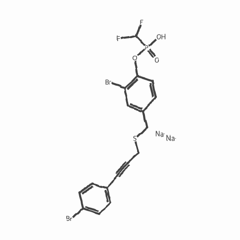 O=P(O)(Oc1ccc(CSCC#Cc2ccc(Br)cc2)cc1Br)C(F)F.[Na].[Na]